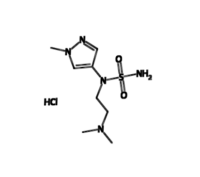 CN(C)CCN(c1cnn(C)c1)S(N)(=O)=O.Cl